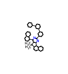 CC1(C)c2ccc3ccccc3c2-c2nc(-c3cccc(-c4cccc(-c5ccccc5)c4)c3)nc(-c3cccc4ccccc34)c21